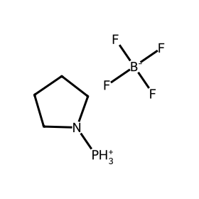 F[B-](F)(F)F.[PH3+]N1CCCC1